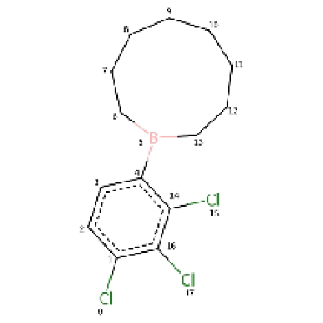 Clc1ccc(B2CCCCCCCC2)c(Cl)c1Cl